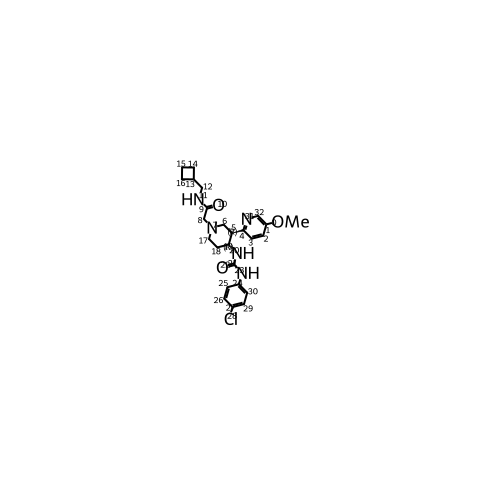 COc1ccc([C@@H]2CN(CC(=O)NCC3CCC3)CC[C@H]2NC(=O)Nc2ccc(Cl)cc2)nc1